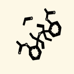 C=CC(CC)(OC(C=C)(CC)c1ccccc1OC(C)=O)c1ccccc1OC(C)=O.CC=O